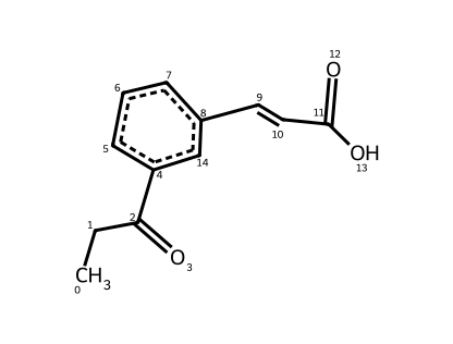 CCC(=O)c1cccc(/C=C/C(=O)O)c1